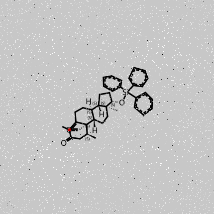 CC1=C2CC[C@H]3[C@@H]4CC[C@H](O[Si](c5ccccc5)(c5ccccc5)c5ccccc5)[C@@]4(C)CC[C@@H]3[C@@]2(C=O)[C@@H](C)CC1=O